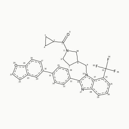 O=C(C1CC1)N1CCC(Cn2c(-c3ccc(-c4ccc5occc5c4)cc3)nc3cccc(C(F)(F)F)c32)C1